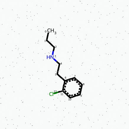 CCCNCCc1ccccc1Cl